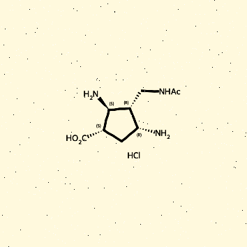 CC(=O)NC[C@H]1[C@H](N)[C@@H](C(=O)O)C[C@H]1N.Cl